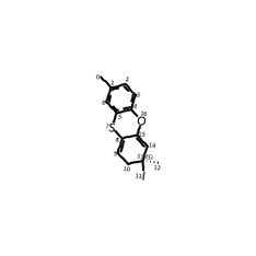 Cc1ccc2c(c1)SC1=CC[C@](C)(I)C=C1O2